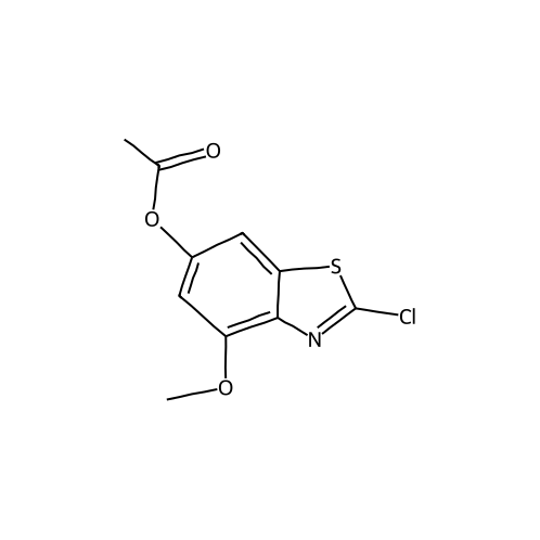 COc1cc(OC(C)=O)cc2sc(Cl)nc12